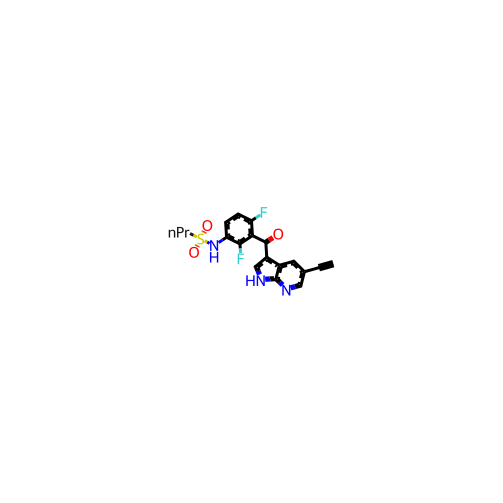 C#Cc1cnc2[nH]cc(C(=O)c3c(F)ccc(NS(=O)(=O)CCC)c3F)c2c1